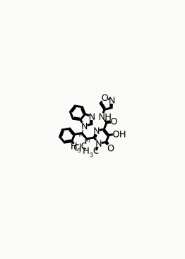 C[C@@H](c1nc(C(=O)Nc2cnoc2)c(O)c(=O)n1C)[C@H](c1ccccc1Cl)n1cnc2ccccc21